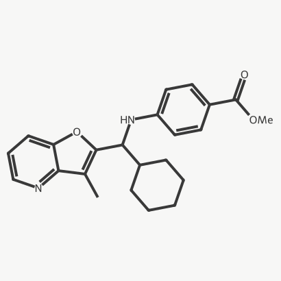 COC(=O)c1ccc(NC(c2oc3cccnc3c2C)C2CCCCC2)cc1